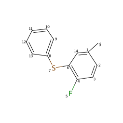 [CH2]c1ccc(F)c(Sc2ccccc2)c1